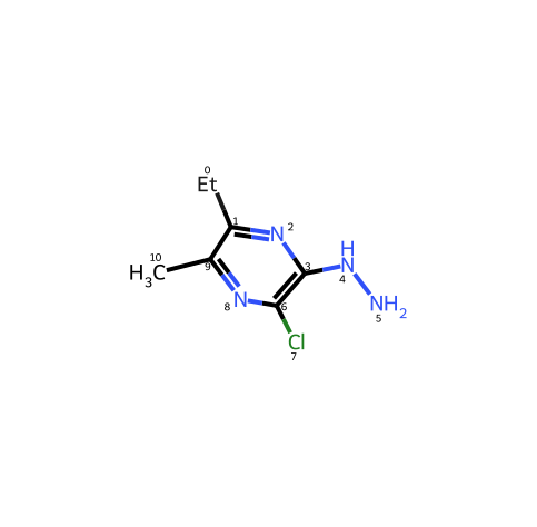 CCc1nc(NN)c(Cl)nc1C